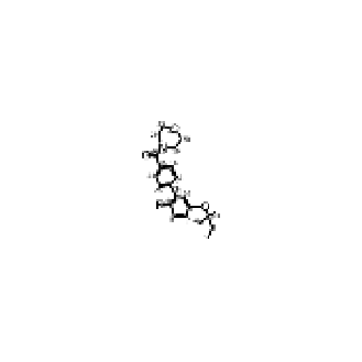 CCC(C)(C)Oc1ccc(F)c(-c2ccc(C(=O)N3CCOCC3)cc2)c1